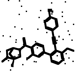 CCc1nccc(-c2ccc(C(=O)N3C[C@@H]4CC3CN4C)c(F)c2)c1C#Cc1ccc(N)nc1